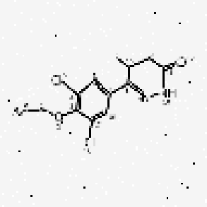 CC(=O)COc1c(Cl)cc(C2=NNC(=O)CC2C)cc1Cl